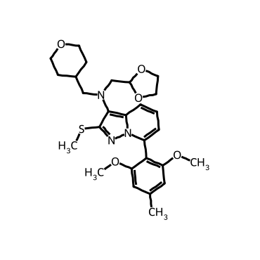 COc1cc(C)cc(OC)c1-c1cccc2c(N(CC3CCOCC3)CC3OCCO3)c(SC)nn12